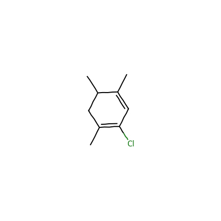 CC1=CC(Cl)=C(C)CC1C